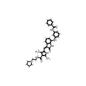 Cc1[nH]c(/C=C2\C(=O)Nc3c(Nc4cccc(NC(=O)c5ccccc5)c4)cccc32)c(C)c1C(=O)NCCN1CCCC1